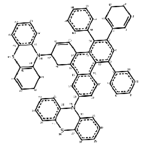 C1=CC(c2cc(-c3ccccc3)c3c(c4c(c5cc(N6c7ccccc7Sc7ccccc76)ccc53)CC(N3C5=C(C=CCC5)Sc5ccccc53)C=C4)c2-c2ccccc2)=CCC1